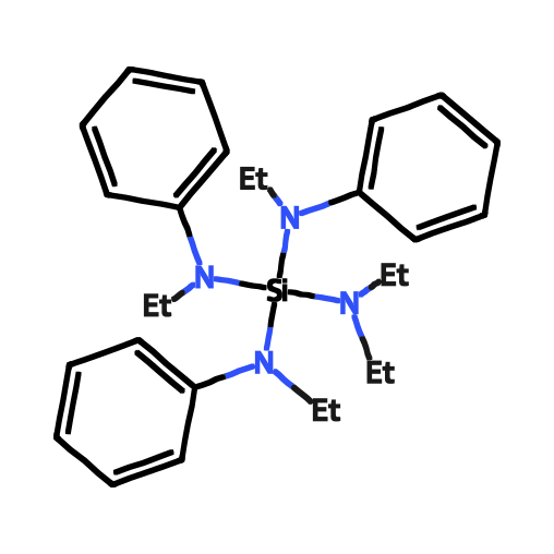 CCN(CC)[Si](N(CC)c1ccccc1)(N(CC)c1ccccc1)N(CC)c1ccccc1